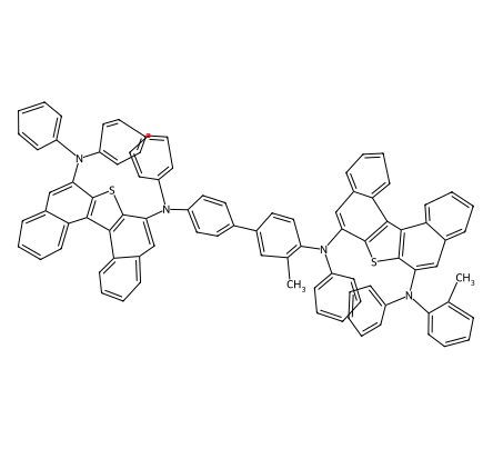 Cc1ccccc1N(c1ccccc1)c1cc2ccccc2c2c1sc1c(N(c3ccccc3)c3ccc(-c4ccc(N(c5ccccc5)c5cc6ccccc6c6c5sc5c(N(c7ccccc7)c7ccccc7)cc7ccccc7c56)cc4)cc3C)cc3ccccc3c12